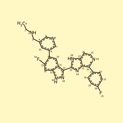 CCNCc1cncc(-c2cc3c(-c4nc5c(-c6ccc(F)cc6)nccc5[nH]4)n[nH]c3cc2F)c1